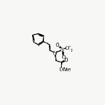 COC(=O)CN(CCc1ccccc1)S(=O)(=O)C(F)(F)F